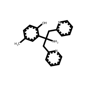 Cc1ccc(O)c(C(N)(Cc2ccccn2)Cc2ccccn2)c1